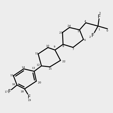 CC(F)(F)CC1CCC(C2CCC(c3ccc(F)c(F)c3)CC2)CC1